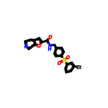 CCc1cccc(S(=O)(=O)c2ccc(CNC(=O)c3cc4ccncc4o3)cc2)c1